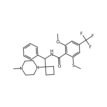 COc1cc(C(F)(F)F)cc(SC)c1C(=O)NC(c1ccccc1)C1(N2CCN(C)CC2)CCC1